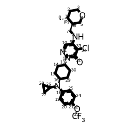 C[C@@H]1CCOC[C@H]1CNc1cnn([C@H]2CC[C@H](N(c3ccc(OC(F)(F)F)cc3)C3CC3)CC2)c(=O)c1Cl